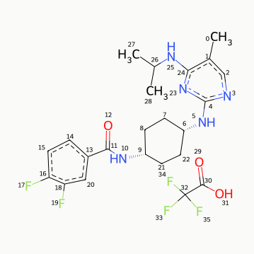 Cc1cnc(N[C@H]2CC[C@@H](NC(=O)c3ccc(F)c(F)c3)CC2)nc1NC(C)C.O=C(O)C(F)(F)F